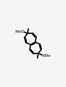 CNC1(C)C=CC2=C(C=C1)C=CC(C)(OC)C=C2